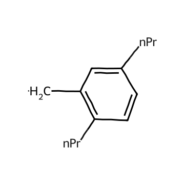 [CH2]c1cc(CCC)ccc1CCC